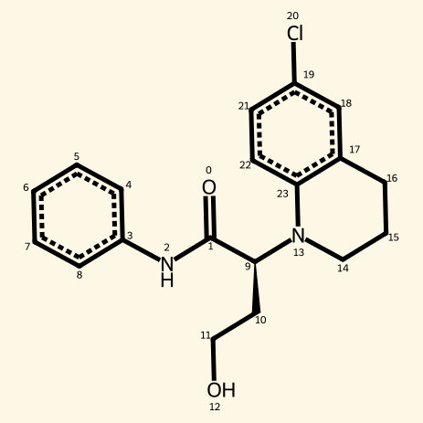 O=C(Nc1ccccc1)[C@H](CCO)N1CCCc2cc(Cl)ccc21